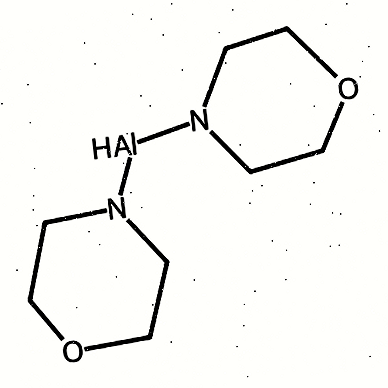 C1C[N]([AlH][N]2CCOCC2)CCO1